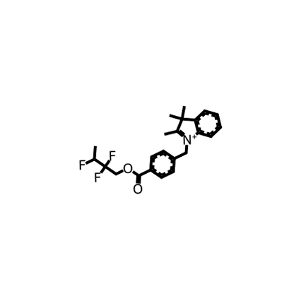 CC1=[N+](Cc2ccc(C(=O)OCC(F)(F)C(C)F)cc2)c2ccccc2C1(C)C